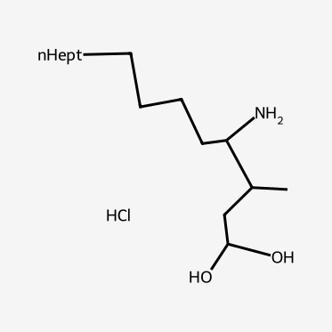 CCCCCCCCCCCC(N)C(C)CC(O)O.Cl